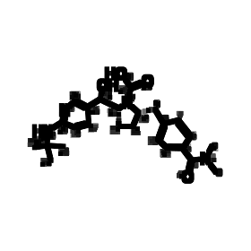 CN(C)C(=O)c1ccc(C[C@@H]2CC[C@H]([C@H](O)c3ccc(NC(C)(C)C)nc3)N2C(=O)O)cc1